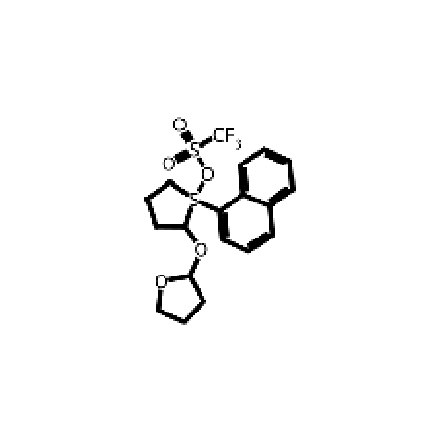 O=S(=O)(OS1(c2cccc3ccccc23)CCCC1OC1CCCO1)C(F)(F)F